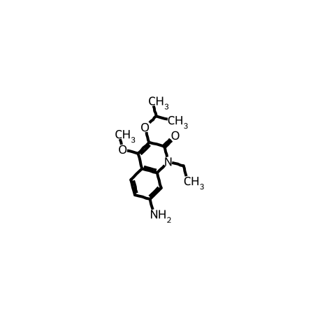 CCn1c(=O)c(OC(C)C)c(OC)c2ccc(N)cc21